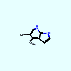 CCC1=CNC2NC=CC2=C1NC